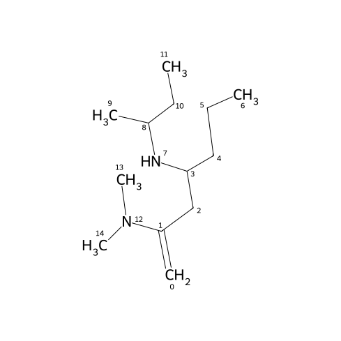 C=C(CC(CCC)NC(C)CC)N(C)C